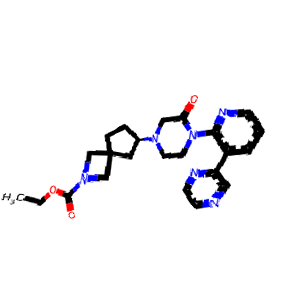 CCOC(=O)N1CC2(CC[C@@H](N3CCN(c4ncccc4-c4cnccn4)C(=O)C3)C2)C1